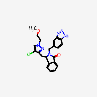 COCCn1cc(Cl)c(CC2c3ccccc3C(=O)N2Cc2ccc3[nH]nnc3c2)n1